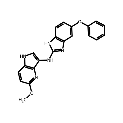 COc1ccc2[nH]cc(Nc3nc4cc(Oc5ccccc5)ccc4[nH]3)c2n1